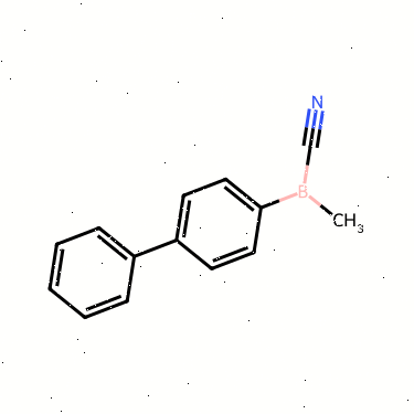 CB(C#N)c1ccc(-c2ccccc2)cc1